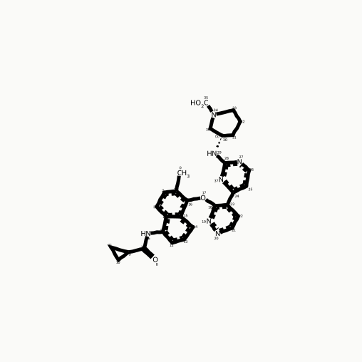 Cc1ccc2c(NC(=O)C3CC3)cccc2c1Oc1nnccc1-c1ccnc(N[C@H]2CCCN(C(=O)O)C2)n1